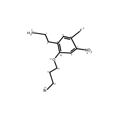 NCCc1cc(F)c([N+](=O)[O-])cc1OCCCBr